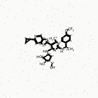 Cc1nc(N[C@H](C)c2ccc(OC(F)(F)F)cc2)nc(N[C@@H]2C[C@H](CO)[C@@H](O)[C@H]2O)c1-c1nc2cnc(C3CC3)cc2s1